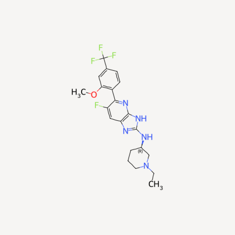 CCN1CCC[C@@H](Nc2nc3cc(F)c(-c4ccc(C(F)(F)F)cc4OC)nc3[nH]2)C1